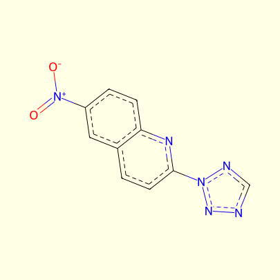 O=[N+]([O-])c1ccc2nc(-n3ncnn3)ccc2c1